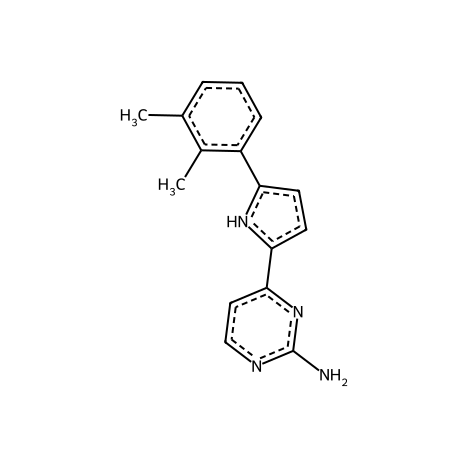 Cc1cccc(-c2ccc(-c3ccnc(N)n3)[nH]2)c1C